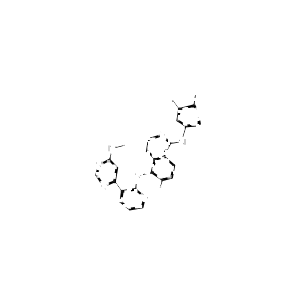 CNc1cc(-c2cccnc2Nc2c(C)ccc3c(Nc4ccc(F)c(Cl)c4)nccc23)ncn1